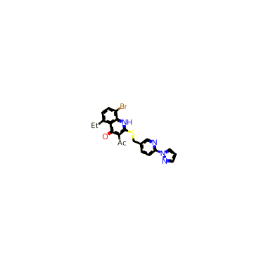 CCc1ccc(Br)c2[nH]c(SCc3ccc(-n4cccn4)nc3)c(C(C)=O)c(=O)c12